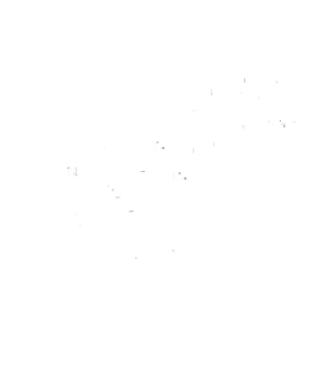 CNC(=O)C1(C)COC(c2nc(-c3ccc(F)cc3)c(-c3ccnc(OC(C)C)n3)[nH]2)OC1